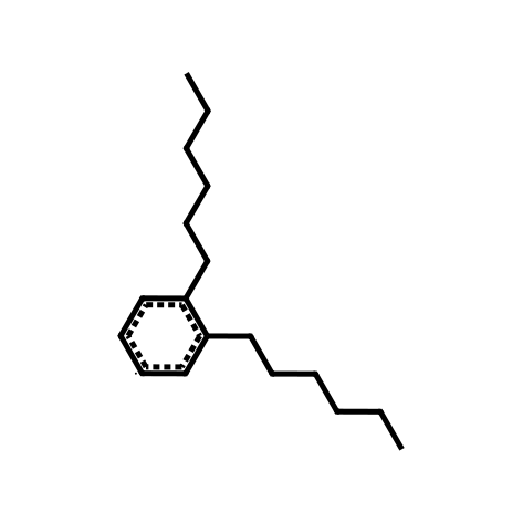 CCCCCCc1c[c]ccc1CCCCCC